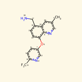 Cc1cnc2c(Oc3ccc(C(F)(F)F)nc3)ccc(CN)c2c1